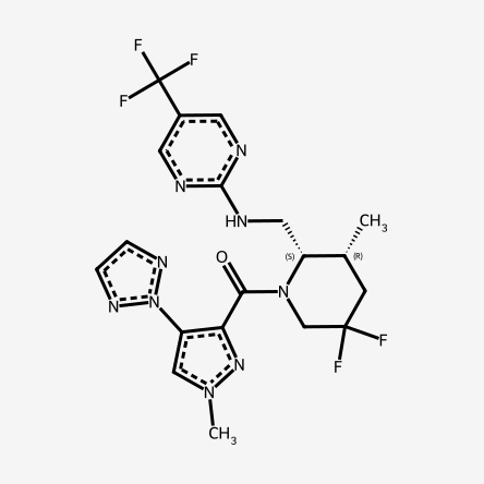 C[C@@H]1CC(F)(F)CN(C(=O)c2nn(C)cc2-n2nccn2)[C@@H]1CNc1ncc(C(F)(F)F)cn1